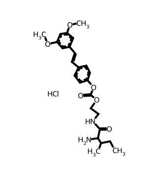 CCC(C)C(N)C(=O)NCCOC(=O)Oc1ccc(C=Cc2cc(OC)cc(OC)c2)cc1.Cl